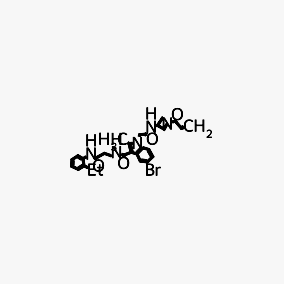 C=CC(=O)N1CC(NC(=O)Cn2c(C)c(C(=O)NCCC(=O)Nc3ccccc3CC)c3cc(Br)ccc32)C1